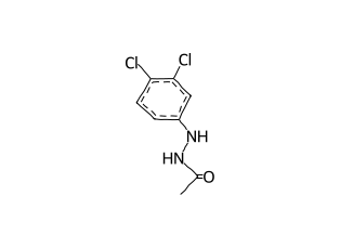 CC(=O)NNc1ccc(Cl)c(Cl)c1